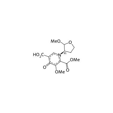 COC(=O)c1c(OC)c(=O)c(C(=O)O)cn1[C@@H]1CCOC1OC